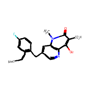 COCc1cc(F)ccc1Cc1cnc2c(O)c(C(=O)O)c(=O)n(C)c2c1